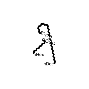 CC/C=C\C/C=C\C/C=C\C/C=C\CCCCC(=O)O[C@H](COC(=O)CCCCCCC/C=C\CCCCCC)COC(=O)CCCCCCCCC/C=C\CCCCCCCCCC